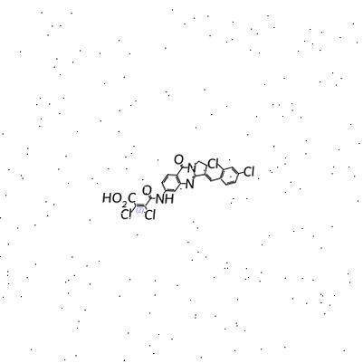 O=C(O)/C(Cl)=C(/Cl)C(=O)Nc1ccc2c(=O)n3c(nc2c1)C(=Cc1ccc(Cl)cc1Cl)CC3